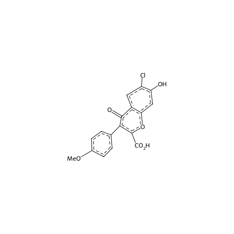 COc1ccc(-c2c(C(=O)O)oc3cc(O)c(Cl)cc3c2=O)cc1